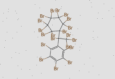 Brc1c(Br)c(Br)c(C(Br)(C(Br)(Br)Br)C2(Br)C(Br)(Br)C(Br)(Br)C(Br)(Br)C(Br)(Br)C2(Br)Br)c(Br)c1Br